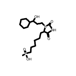 CP(=O)(O)CCCCCCC1C(=O)NC(=O)N1CCC(O)C1CCCCC1